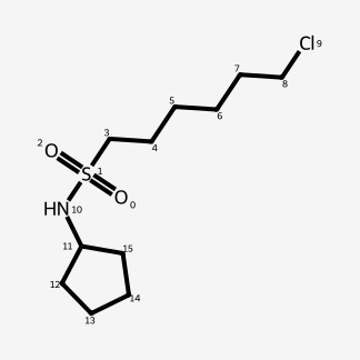 O=S(=O)(CCCCCCCl)NC1CCCC1